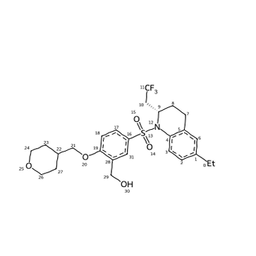 CCc1ccc2c(c1)CC[C@@H](CC(F)(F)F)N2S(=O)(=O)c1ccc(OCC2CCOCC2)c(CO)c1